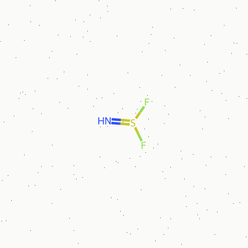 N=S(F)F